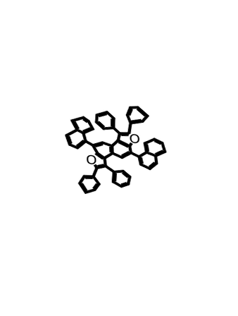 c1ccc(-c2oc3c(-c4cccc5ccccc45)cc4c(cc(-c5cccc6ccccc56)c5oc(-c6ccccc6)c(-c6ccccc6)c54)c3c2-c2ccccc2)cc1